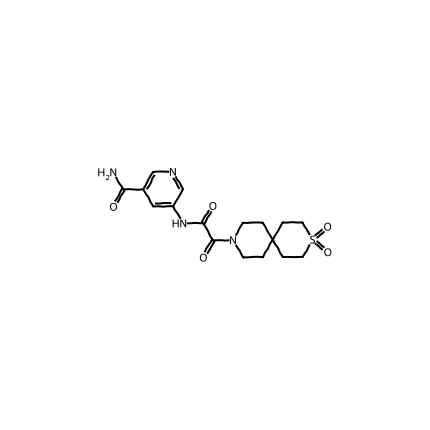 NC(=O)c1cncc(NC(=O)C(=O)N2CCC3(CC2)CCS(=O)(=O)CC3)c1